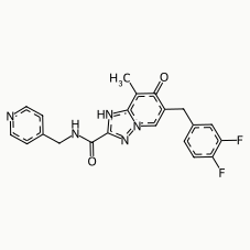 Cc1c(=O)c(Cc2ccc(F)c(F)c2)cn2nc(C(=O)NCc3ccncc3)[nH]c12